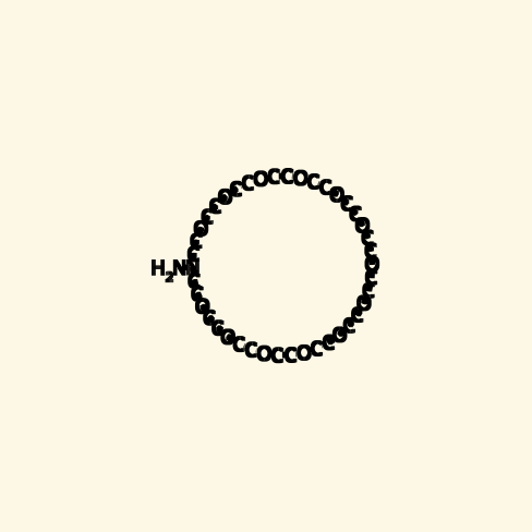 NN1CCOCCOCCOCCOCCOCCOCCOCCOCCOCCOCCOCCOCCOCC1